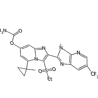 CCS(=O)(=O)c1c(-c2nc3cc(C(F)(F)F)cnc3n2C)nc2cc(OC(N)=O)cc(C3(C)CC3)n12